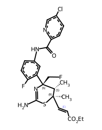 CCOC(=O)/C=C/[C@@]1(C)SC(N)=N[C@](CF)(c2cc(NC(=O)c3ccc(Cl)cn3)ccc2F)[C@@H]1C